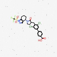 O=C(O)c1ccc(-c2cc(Cl)c(CC3CCN([C@@H]4CCCc5c4cnn5S(=O)(=O)C(F)(F)F)C3=O)c(Cl)c2)cc1